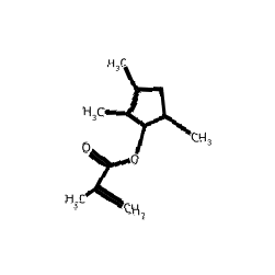 C=C(C)C(=O)OC1C(C)CC(C)C1C